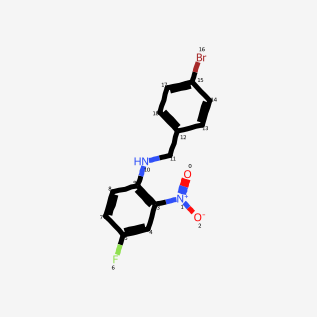 O=[N+]([O-])c1cc(F)ccc1NCc1ccc(Br)cc1